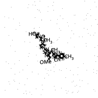 COCCc1nc2sc(N3CC[C@@H](N(C)CC(=O)N4CC(O)C4)C3)nn2c1N(C)c1nc(-c2ccc(C)cc2)c(C#N)s1